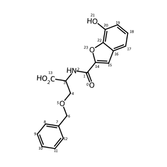 O=C(NC(COCc1ccccc1)C(=O)O)c1cc2cccc(O)c2o1